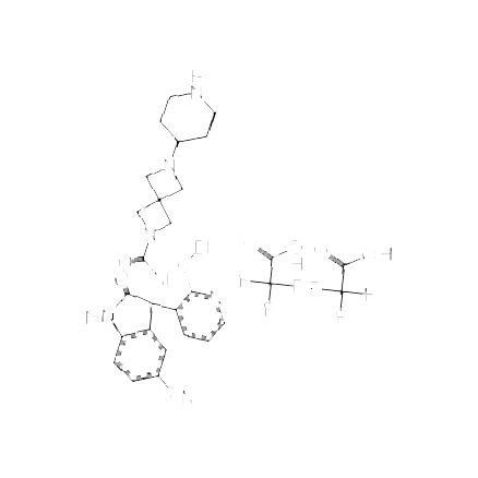 CCOc1ncccc1[C@]1(NC(=O)N2CC3(C2)CN(C2CCNCC2)C3)C(=O)Nc2ccc(C#N)cc21.O=C(O)C(F)(F)F.O=C(O)C(F)(F)F